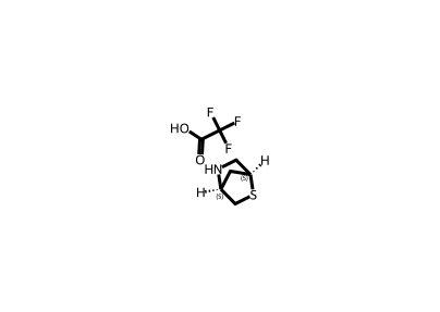 C1S[C@@H]2CN[C@H]1C2.O=C(O)C(F)(F)F